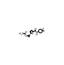 NC(=O)O[C@@H]1C[C@H]1c1ccc(C(=O)NC2CCC(F)(F)CC2)s1